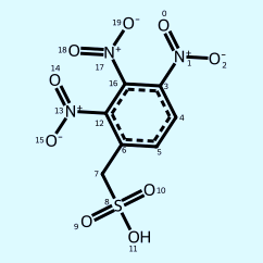 O=[N+]([O-])c1ccc(CS(=O)(=O)O)c([N+](=O)[O-])c1[N+](=O)[O-]